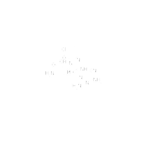 Cc1c(C(N)=O)cccc1-n1c([C@H](C)Nc2nc(N)nc(N)c2C#N)nc2cccc(Cl)c2c1=O